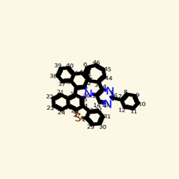 C1#CCC(c2nc(-c3ccccc3)ncc2-n2c3c(c4c5ccccc5c5sc6ccccc6c5c42)-c2ccccc2CC3)=CC=C1